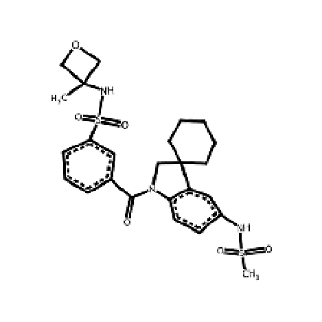 CC1(NS(=O)(=O)c2cccc(C(=O)N3CC4(CCCCC4)c4cc(NS(C)(=O)=O)ccc43)c2)COC1